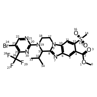 COC(=O)c1cc2nc3n(c2cc1S(C)(=O)=O)CCN(c1ncc(Br)c(C(F)(F)F)n1)C3C(C)C